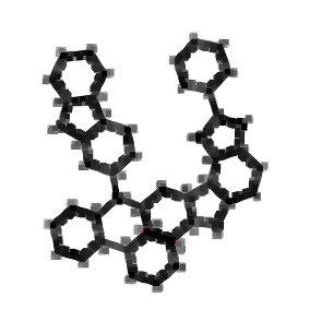 c1ccc(-c2nc3ccc4oc5ccc(N(c6ccc7c(c6)sc6ccccc67)c6ccccc6-c6ccccc6)cc5c4c3o2)cc1